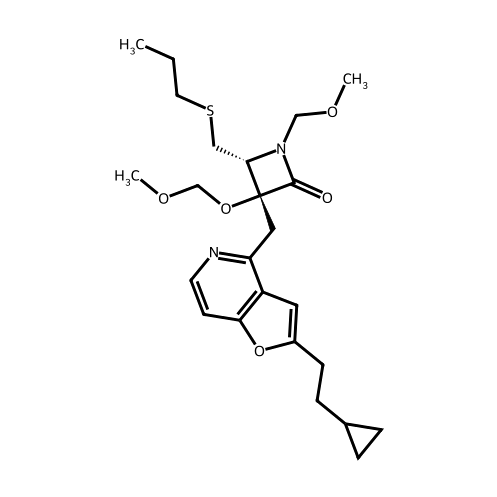 CCCSC[C@@H]1N(COC)C(=O)[C@]1(Cc1nccc2oc(CCC3CC3)cc12)OCOC